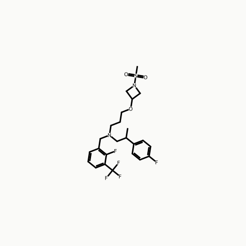 CC(CN(CCCOC1CN(S(C)(=O)=O)C1)Cc1cccc(C(F)(F)F)c1F)c1ccc(F)cc1